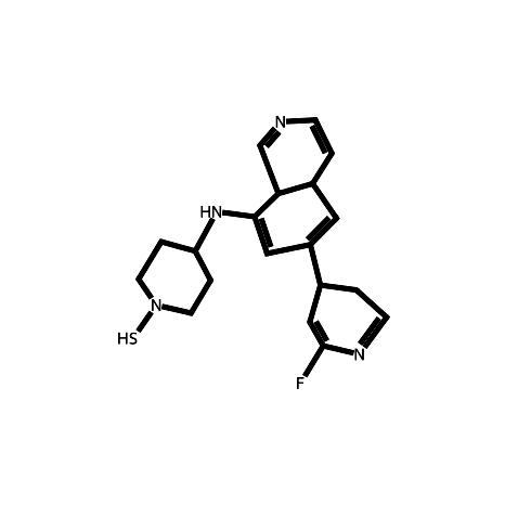 FC1=CC(C2=CC3C=CN=CC3C(NC3CCN(S)CC3)=C2)CC=N1